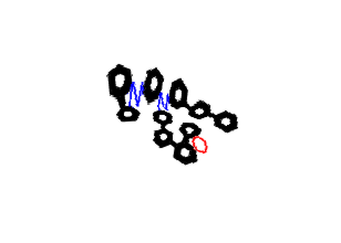 c1ccc(-c2ccc(-c3cccc(N(c4ccc(-c5cccc(-c6cccc7oc8ccccc8c67)c5)cc4)c4cccc(-n5c6ccccc6c6ccccc65)c4)c3)cc2)cc1